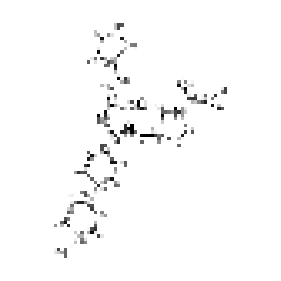 O=C(C1CC1)N1CC[C@@H](Cn2c(-c3ccc(-c4ccc(F)cc4)cc3)nn(CCN3CCCC3)c2=O)C1